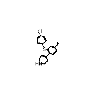 Fc1ccc(C2=CCNCC2)c(Sc2ccc(Cl)cc2)c1